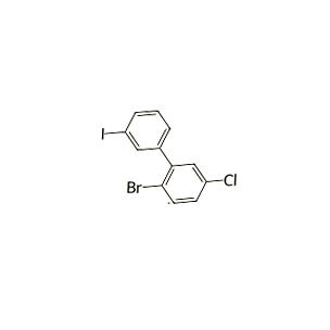 Clc1c[c]c(Br)c(-c2cccc(I)c2)c1